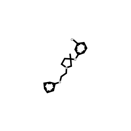 CC1(Oc2cccc(Cl)c2)CCN(CCOc2ccccc2)C1